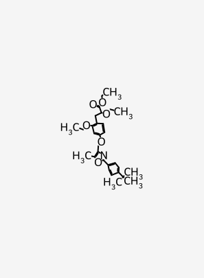 CCOC(=O)C(Cc1ccc(OCc2nc(-c3ccc(C(C)(C)C)cc3)oc2C)cc1OCC)OCC